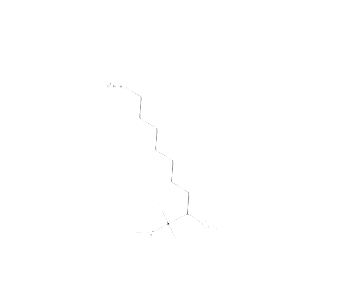 CCCCCCCCCCCCCCCCC(C)C(N)(CC)CC